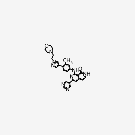 Cc1cc(Nc2nc(-c3cncnc3)cc3cc[nH]c(=O)c23)ccc1-c1cnn(CCN2CCOCC2)c1